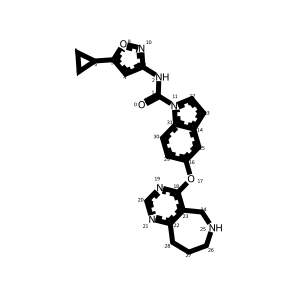 O=C(Nc1cc(C2CC2)on1)n1ccc2cc(Oc3ncnc4c3CNCCC4)ccc21